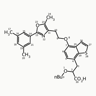 CCCCOC(Cc1ccc(OCCc2nc(-c3cc(C)cc(C)c3)oc2C)c2ccsc12)C(=O)O